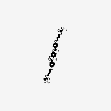 C=CC(=O)OCCCCOc1ccc(C(=O)Nc2ccc(OC(=O)c3ccc(OCCCCOC(=O)C=C)cc3)cc2C(F)(F)F)cc1